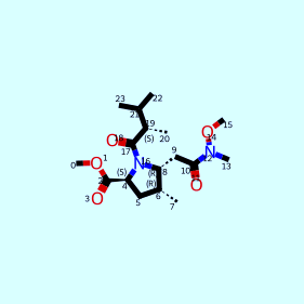 COC(=O)[C@@H]1C[C@@H](C)[C@@H](CC(=O)N(C)OC)N1C(=O)[C@@H](C)C(C)C